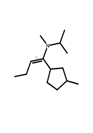 CC/C=C(\C1CCC(C)C1)N(C)C(C)C